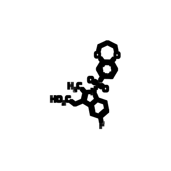 CC1=C(CC(=O)O)C2=CC(F)=CCC2N1S(=O)(=O)c1ccc2c(c1)OCCCO2